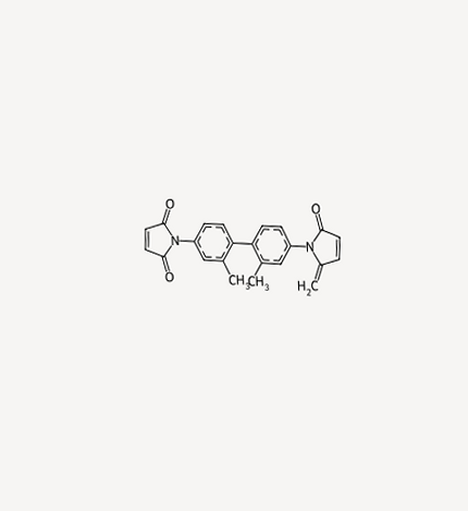 C=C1C=CC(=O)N1c1ccc(-c2ccc(N3C(=O)C=CC3=O)cc2C)c(C)c1